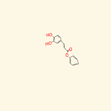 O=C(C=Cc1ccc(O)c(O)c1)Oc1ccccc1